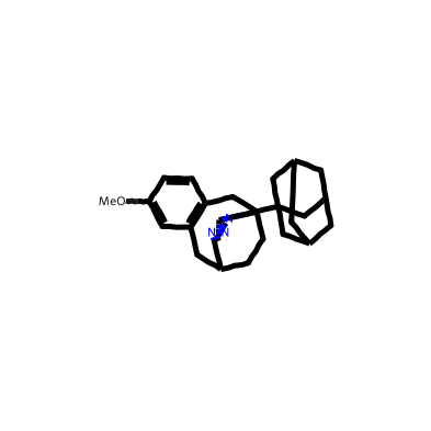 COc1ccc2c(c1)CC1CCC(C2)n2c1nnc2C12CC3CC(CC(C3)C1)C2